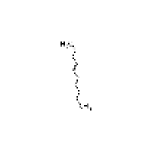 C=CCC=CCCCCC